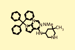 CNC1(C)CNCC(Nc2ncnc3c2ccn3C(c2ccccc2)(c2ccccc2)c2ccccc2)C1